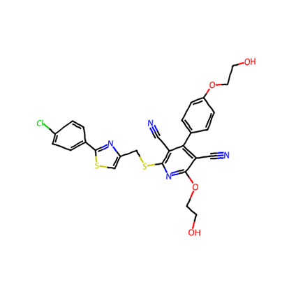 N#Cc1c(OCCO)nc(SCc2csc(-c3ccc(Cl)cc3)n2)c(C#N)c1-c1ccc(OCCO)cc1